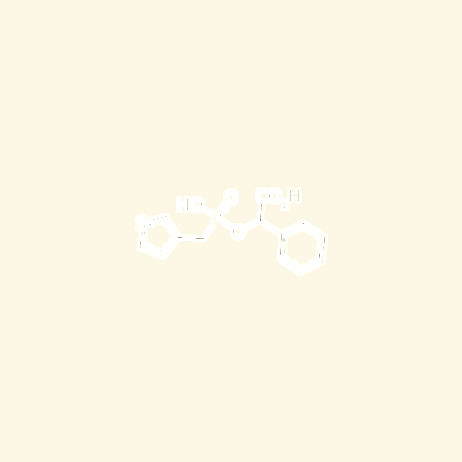 O=C(O)C(OP(=O)(O)Cc1ccsc1)c1ccccc1